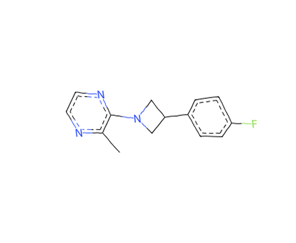 Cc1nccnc1N1CC(c2ccc(F)cc2)C1